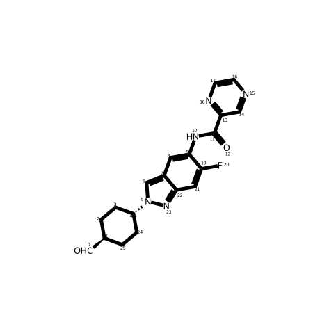 O=C[C@H]1CC[C@H](n2cc3cc(NC(=O)c4cnccn4)c(F)cc3n2)CC1